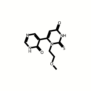 COCCn1c(-c2cnc[nH]c2=O)cc(=O)[nH]c1=S